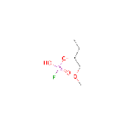 CCC(COC)OP(=O)(O)F